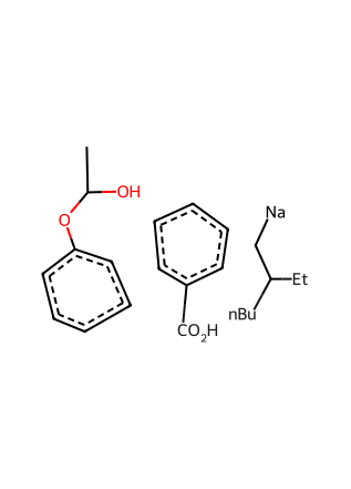 CC(O)Oc1ccccc1.CCCCC(CC)[CH2][Na].O=C(O)c1ccccc1